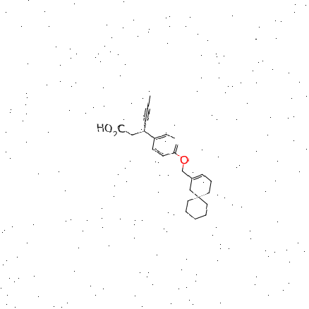 C=C(/C=C\C(=C/C)C(C#CC)CC(=O)O)OCC1=CCCC2(CCCCC2)C1